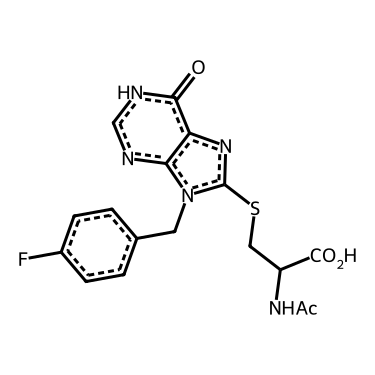 CC(=O)NC(CSc1nc2c(=O)[nH]cnc2n1Cc1ccc(F)cc1)C(=O)O